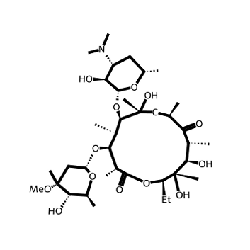 CC[C@H]1OC(=O)[C@H](C)[C@@H](O[C@H]2C[C@@](C)(OC)[C@@H](O)[C@H](C)O2)[C@H](C)[C@@H](O[C@H]2O[C@@H](C)C[C@@H](N(C)C)[C@@H]2O)[C@](C)(O)C[C@@H](C)C(=O)[C@H](C)[C@@H](O)[C@]1(C)O